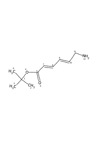 CC(C)(C)OC(=O)C=CC=CCN